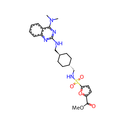 COC(=O)c1ccc(S(=O)(=O)NC[C@H]2CC[C@H](CNc3nc(N(C)C)c4ccccc4n3)CC2)o1